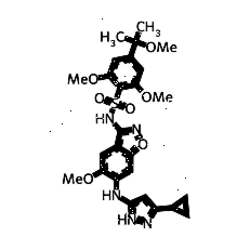 COc1cc2c(NS(=O)(=O)c3c(OC)cc(C(C)(C)OC)cc3OC)noc2cc1Nc1cc(C2CC2)n[nH]1